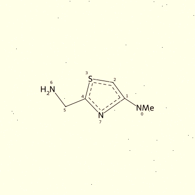 CNc1csc(CN)n1